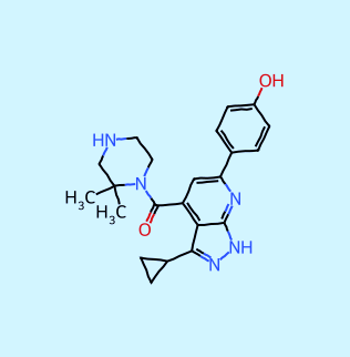 CC1(C)CNCCN1C(=O)c1cc(-c2ccc(O)cc2)nc2[nH]nc(C3CC3)c12